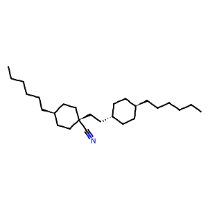 CCCCCC[C@H]1CC[C@H](CC[C@]2(C#N)CC[C@H](CCCCCC)CC2)CC1